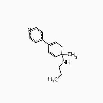 CCCNC1(C)C=CC(c2ccncc2)=CC1